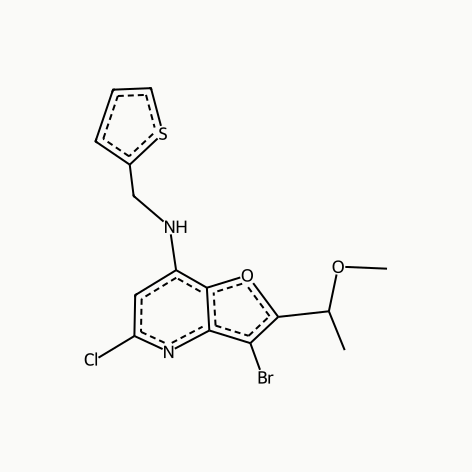 COC(C)c1oc2c(NCc3cccs3)cc(Cl)nc2c1Br